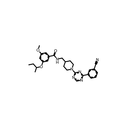 CCC(C)Oc1cc(OC)cc(C(=O)NCC2CCN(c3ncnc(-c4cccc(C#N)c4)n3)CC2)c1